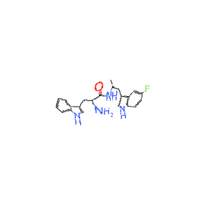 CC(Cc1c[nH]c2ccc(F)cc12)NC(=O)C(N)Cc1c[nH]c2ccccc12